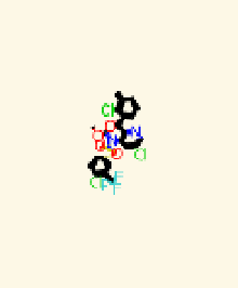 COCN(c1cc(Cl)cnc1C(=O)c1cccc(C)c1Cl)S(=O)(=O)c1ccc(Cl)c(C(F)(F)F)c1